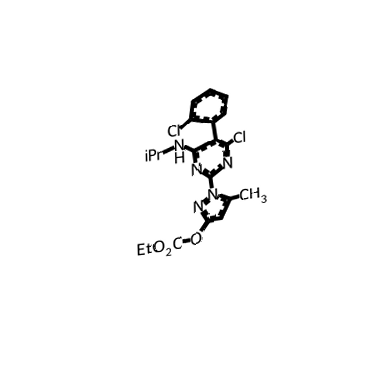 CCOC(=O)Oc1cc(C)n(-c2nc(Cl)c(-c3ccccc3Cl)c(NC(C)C)n2)n1